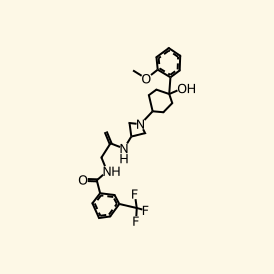 C=C(CNC(=O)c1cccc(C(F)(F)F)c1)NC1CN(C2CCC(O)(c3ccccc3OC)CC2)C1